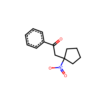 O=C(CC1([N+](=O)[O-])CCCC1)c1ccccc1